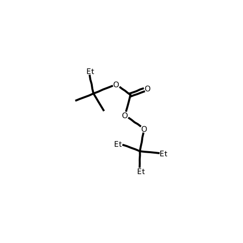 CCC(C)(C)OC(=O)OOC(CC)(CC)CC